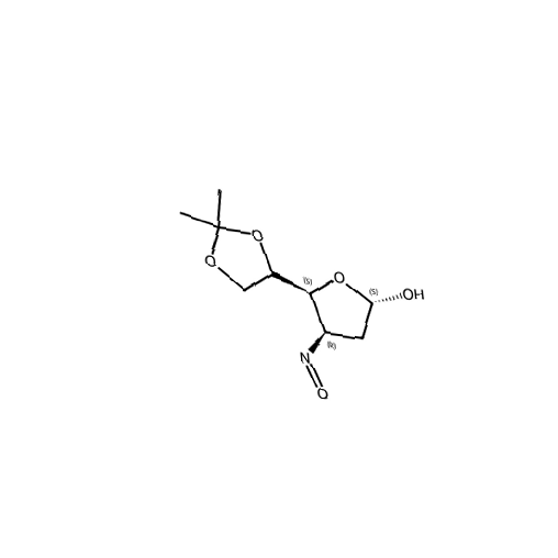 CC1(C)OCC([C@H]2O[C@H](O)C[C@H]2N=O)O1